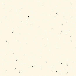 COC(=O)c1c2cccccc-2c(Br)c1-c1ccc(SC)cc1